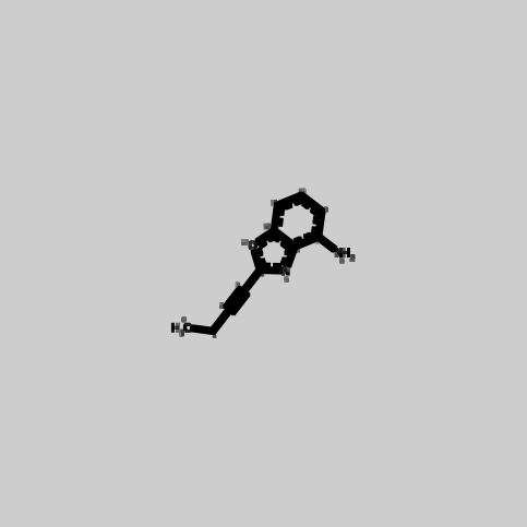 CCC#Cc1nc2c(N)cccc2o1